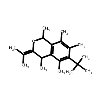 CC(C)=C1OC(C)c2c(C)c(C)c(C(C)(C)C)c(C)c2C1C